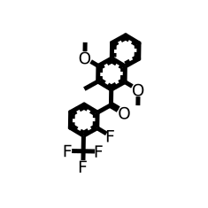 COc1c(C)c(C(=O)c2cccc(C(F)(F)F)c2F)c(OC)c2ccccc12